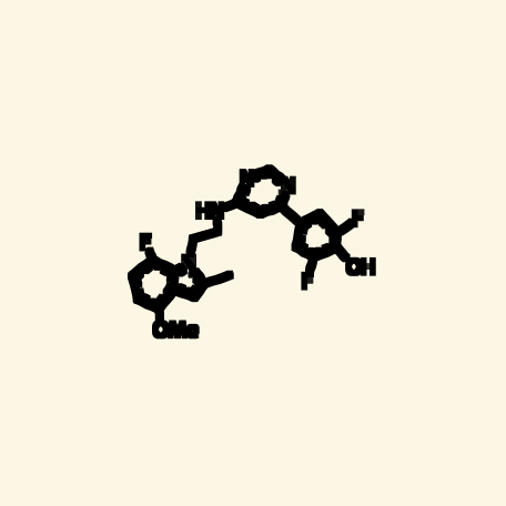 COc1ccc(F)c2c1cc(C)n2CCNc1cc(-c2cc(F)c(O)c(F)c2)ncn1